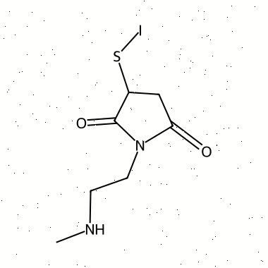 CNCCN1C(=O)CC(SI)C1=O